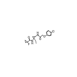 CCC1(NC(=O)C2(F)CC2)CC1NC(=O)COc1ccc(Cl)cc1